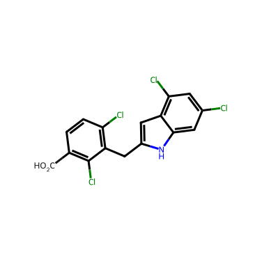 O=C(O)c1ccc(Cl)c(Cc2cc3c(Cl)cc(Cl)cc3[nH]2)c1Cl